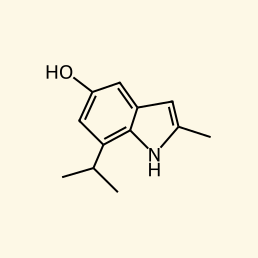 Cc1cc2cc(O)cc(C(C)C)c2[nH]1